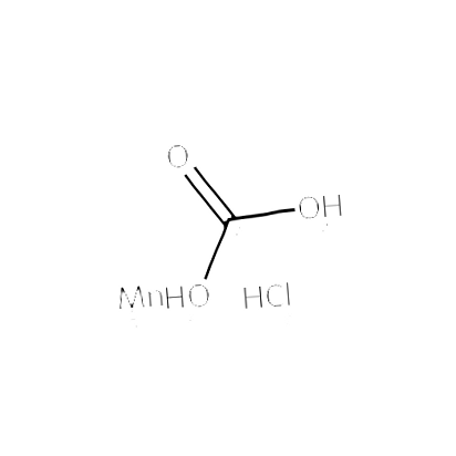 Cl.O=C(O)O.[Mn]